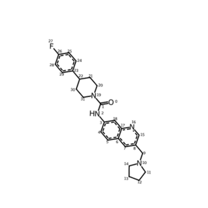 O=C(Nc1ccc2cc(CN3CCCC3)cnc2c1)N1CCC(c2ccc(F)cc2)CC1